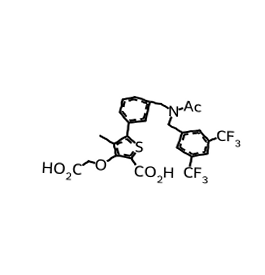 CC(=O)N(Cc1cccc(-c2sc(C(=O)O)c(OCC(=O)O)c2C)c1)Cc1cc(C(F)(F)F)cc(C(F)(F)F)c1